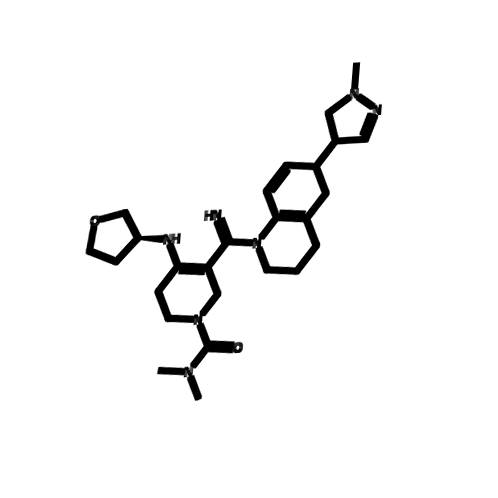 CN1CC(C2C=CC3=C(CCCN3C(=N)C3=C(N[C@H]4CCOC4)CCN(C(=O)N(C)C)C3)C2)C=N1